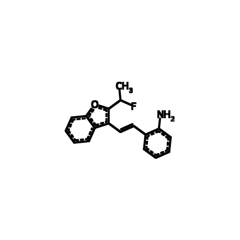 CC(F)c1oc2ccccc2c1/C=C/c1ccccc1N